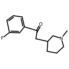 CN1CCCC(CC(=O)c2cccc(F)c2)C1